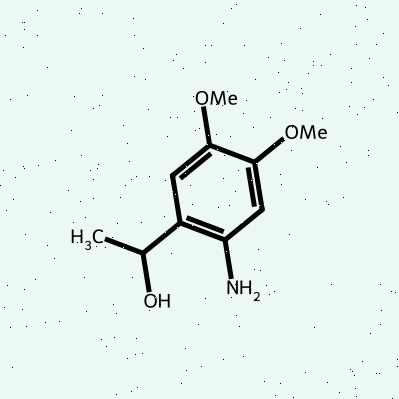 COc1cc(N)c(C(C)O)cc1OC